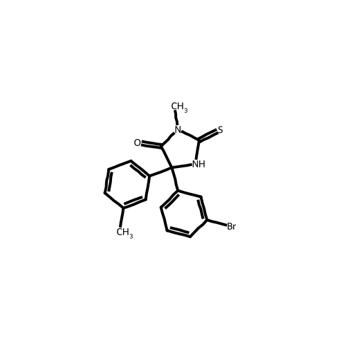 Cc1cccc(C2(c3cccc(Br)c3)NC(=S)N(C)C2=O)c1